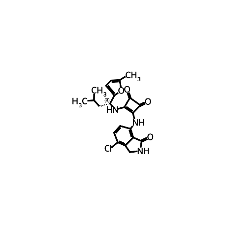 Cc1ccc([C@@H](CC(C)C)Nc2c(Nc3ccc(Cl)c4c3C(=O)NC4)c(=O)c2=O)o1